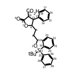 CC(C)(C)[Si](OCCCC1OC(=O)C(C(=O)O)C1c1ccccc1)(c1ccccc1)c1ccccc1